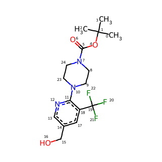 CC(C)(C)OC(=O)N1CCN(c2ncc(CO)cc2C(F)(F)F)CC1